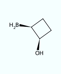 B[C@H]1CC[C@H]1O